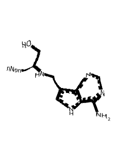 CCCCCCCCC[C@@H](CO)NCc1c[nH]c2c(N)ncnc12